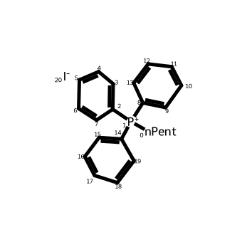 CCCCC[P+](c1ccccc1)(c1ccccc1)c1ccccc1.[I-]